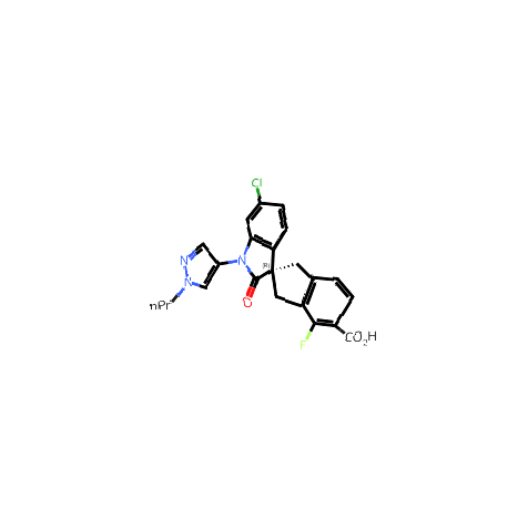 CCCn1cc(N2C(=O)[C@@]3(Cc4ccc(C(=O)O)c(F)c4C3)c3ccc(Cl)cc32)cn1